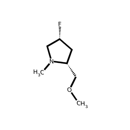 COC[C@H]1C[C@@H](F)CN1C